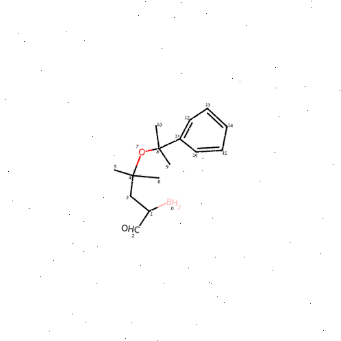 BC(C=O)CC(C)(C)OC(C)(C)c1ccccc1